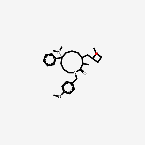 COc1ccc(CN2CCC[C@](c3ccccc3)(N(C)C)CCCC(CC3(OC)CCC3)C(C)C2=O)cc1